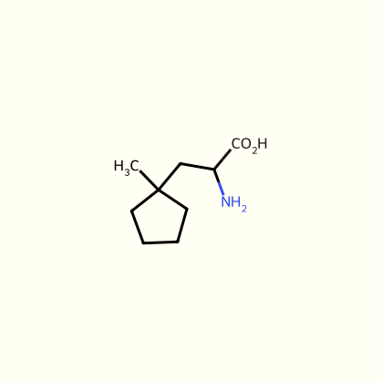 CC1(CC(N)C(=O)O)CCCC1